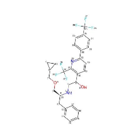 OC(CN[C@H](COCC1CC1)Cc1ccccc1)c1ccc(-c2ccc(C(F)(F)F)cc2)nc1C(F)(F)F